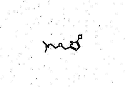 CN(C)CCOCc1ccc(Cl)s1